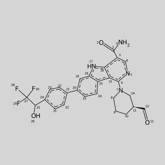 NC(=O)c1cnc(N2CCC[C@H](C=O)C2)c2c1[nH]c1cc(-c3ccc(C(O)C(F)(F)F)cc3)ccc12